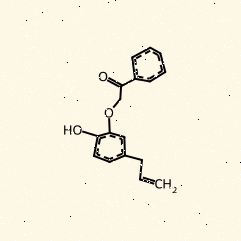 C=CCc1ccc(O)c(OCC(=O)c2ccccc2)c1